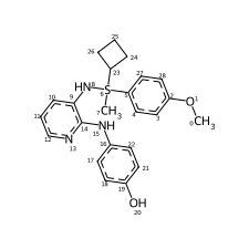 COc1ccc(S(C)(Nc2cccnc2Nc2ccc(O)cc2)C2CCC2)cc1